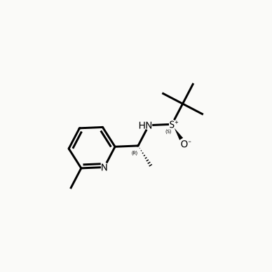 Cc1cccc([C@@H](C)N[S@+]([O-])C(C)(C)C)n1